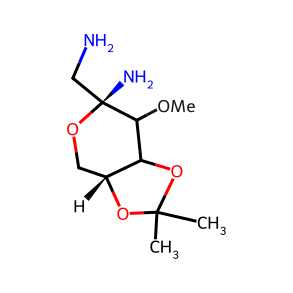 COC1C2OC(C)(C)O[C@@H]2CO[C@]1(N)CN